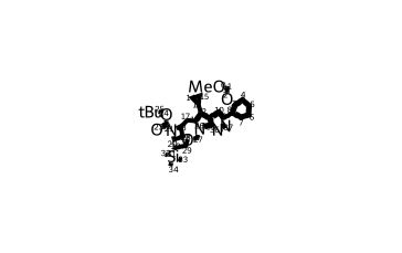 COCOc1ccccc1-c1cc2c(C3CC3)c(CC3CCN3C(=O)OC(C)(C)C)n(COCC[Si](C)(C)C)c2nn1